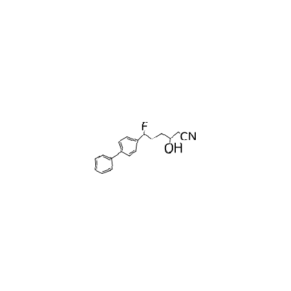 N#CCC(O)CCC(F)c1ccc(-c2ccccc2)cc1